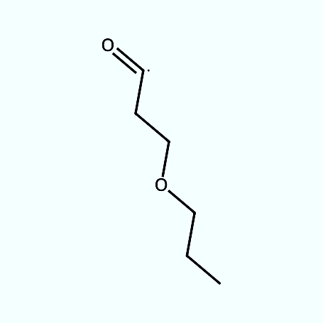 CCCOCC[C]=O